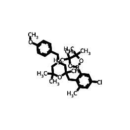 COc1ccc(CN2CC(C)(C)OC(C)(Cc3c(C)cc(Cl)cc3B3OC(C)(C)C(C)(C)O3)C2)cc1